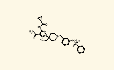 N#CCC1(n2cc(C(N)=O)c(NC(=O)C3CC3)n2)CCN(Cc2cccc(NS(=O)(=O)c3ccccc3)c2)CC1